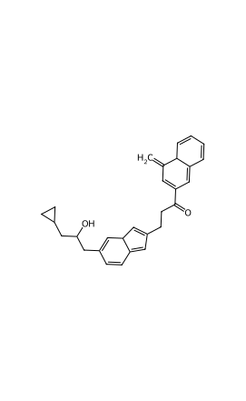 C=C1C=C(C(=O)CCC2=CC3C=C(CC(O)CC4CC4)C=CC3=C2)C=C2C=CC=CC12